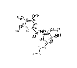 CCCCc1nc(NC(=O)c2cc(OC)c(OC)c(OC)c2)c2nc[nH]c2n1